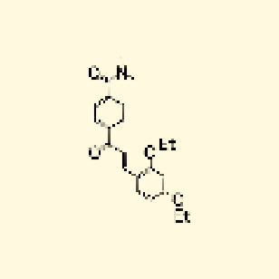 CCOc1ccc(C=CC(=O)c2ccc(C(=O)N(C)C)cc2)c(OCC)c1